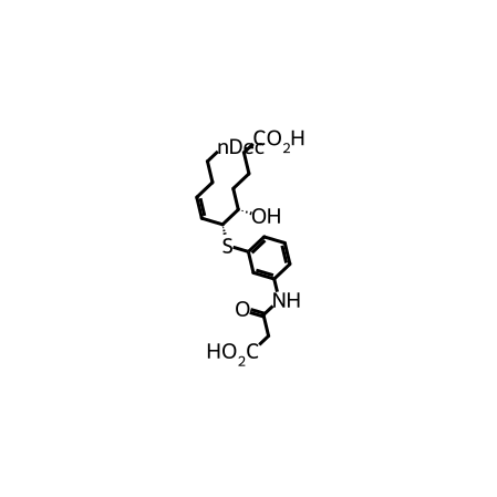 CCCCCCCCCCCC/C=C\[C@@H](Sc1cccc(NC(=O)CC(=O)O)c1)[C@@H](O)CCCC(=O)O